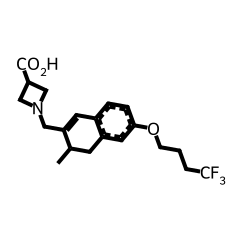 CC1Cc2cc(OCCCC(F)(F)F)ccc2C=C1CN1CC(C(=O)O)C1